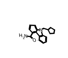 NC(=O)c1cccc2c1c1[c]cccc1n2CC1CCCC1